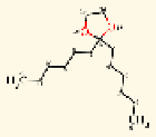 CCCCCCC1(CCCCCC)OCCO1